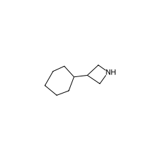 C1CCC(C2CNC2)CC1